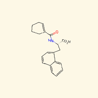 O=C(N[C@@H](Cc1cccc2ccccc12)C(=O)O)C1=CCCCC1